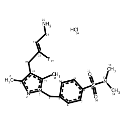 Cc1nn(Cc2ccc(S(=O)(=O)N(C)C)cc2)c(C)c1C/C(F)=C/CN.Cl